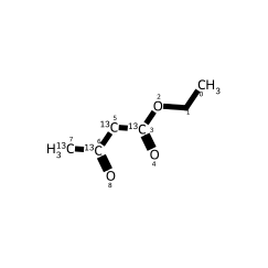 CCO[13C](=O)[13CH2][13C]([13CH3])=O